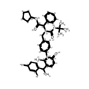 CC(C1=CCC(F)C=C1F)c1ccc(=O)n(-c2ccc(CN(C(=O)OC(C)(C)C)C(C(=O)OC3CCCC3)c3ccccc3)cc2)c1N